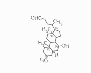 CC(CCC=O)[C@H]1CCC2C3C(CC[C@@]21C)[C@@]1(C)CC[C@@H](O)C[C@H]1C[C@H]3O